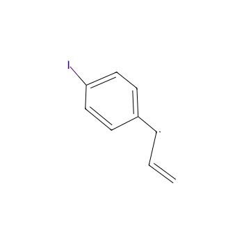 C=C[CH]c1ccc(I)cc1